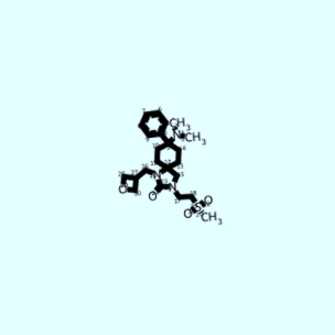 CN(C)C1(c2ccccc2)CCC2(CC1)CN(CCS(C)(=O)=O)C(=O)N2CC1COC1